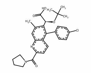 Cc1cc2nc(C(=O)N3CCCC3)ccc2c(-c2ccc(Cl)cc2)c1[C@H](OC(C)(C)C)C(=O)O